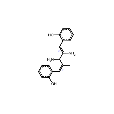 C/C(=C/c1ccccc1O)C(N)/C(N)=C/c1ccccc1O